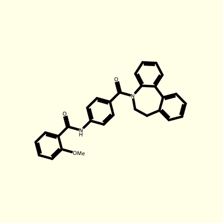 COc1ccccc1C(=O)Nc1ccc(C(=O)N2CCc3ccccc3-c3ccccc32)cc1